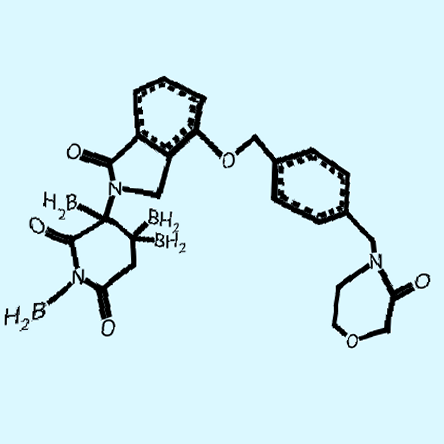 BN1C(=O)CC(B)(B)C(B)(N2Cc3c(OCc4ccc(CN5CCOCC5=O)cc4)cccc3C2=O)C1=O